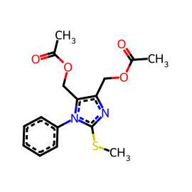 CSc1nc(COC(C)=O)c(COC(C)=O)n1-c1ccccc1